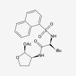 CC[C@H](C)[C@H](NS(=O)(=O)c1cccc2ccccc12)C(=O)N[C@H]1CCO[C@H]1OC(C)=O